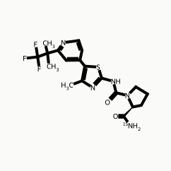 Cc1nc(NC(=O)N2CCC[C@H]2C([15NH2])=O)sc1-c1ccnc(C(C)(C)C(F)(F)F)c1